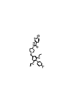 CCOc1cc(CN2CCC(NC(=O)c3ccc(Cl)nc3)CC2)cc(OCC)c1-c1ccc(F)cc1